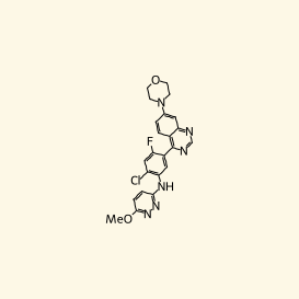 COc1ccc(Nc2cc(-c3ncnc4cc(N5CCOCC5)ccc34)c(F)cc2Cl)nn1